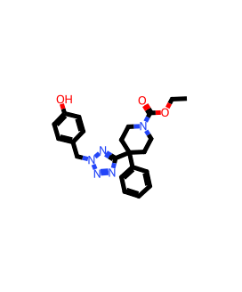 CCOC(=O)N1CCC(c2ccccc2)(c2nnn(Cc3ccc(O)cc3)n2)CC1